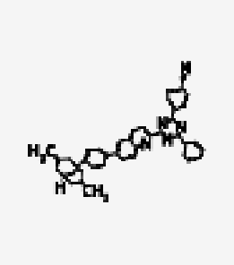 C[C@@H]1C[C@@H]2C[C@H](C)CC(c3ccc(-c4ccc5nc(-c6nc(-c7ccccc7)nc(-c7ccc(C#N)cc7)n6)ccc5c4)cc3)(C1)C2